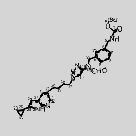 CC(C)(C)OC(=O)NCc1cccc(CN(C=O)c2cn(CCCCc3cc4cc(C5CC5)[nH]c4nn3)nn2)c1